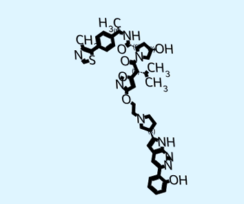 Cc1ncsc1-c1ccc([C@H](C)NC(=O)[C@@H]2C[C@@H](O)CN2C(=O)[C@@H](c2cc(OCCN3CC[C@@H](c4cc5cc(-c6ccccc6O)nnc5[nH]4)C3)no2)C(C)C)cc1